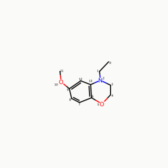 CCN1CCOc2ccc(OC)cc21